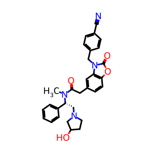 CN(C(=O)Cc1ccc2oc(=O)n(Cc3ccc(C#N)cc3)c2c1)[C@H](CN1CCC(O)C1)c1ccccc1